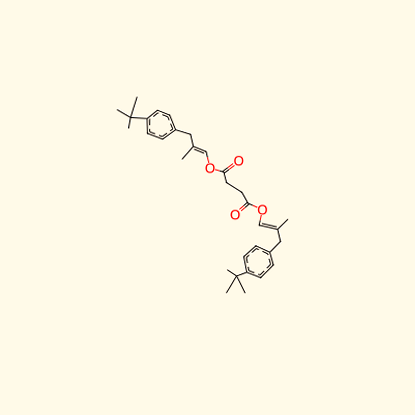 C/C(=C\OC(=O)CCC(=O)O/C=C(\C)Cc1ccc(C(C)(C)C)cc1)Cc1ccc(C(C)(C)C)cc1